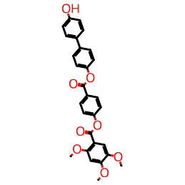 COc1cc(OC)c(C(=O)Oc2ccc(C(=O)Oc3ccc(-c4ccc(O)cc4)cc3)cc2)cc1OC